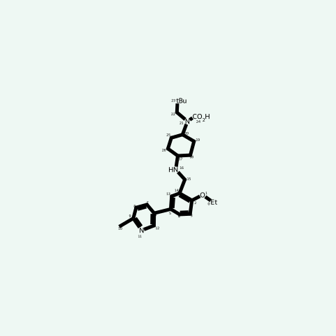 CCOc1ccc(-c2ccc(C)nc2)cc1CNC1CCC(N(CC(C)(C)C)C(=O)O)CC1